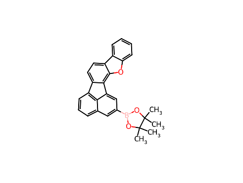 CC1(C)OB(c2cc3c4c(cccc4c2)-c2ccc4c(oc5ccccc54)c2-3)OC1(C)C